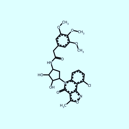 COc1cc(CC(=O)NC2CC(n3c(=O)c4c(C)onc4c4c(Cl)cccc43)C(O)C2O)cc(OC)c1OC